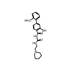 COc1ccccc1-c1ccc2c(NC(=O)NCCN3CCCCC3)n[nH]c2c1